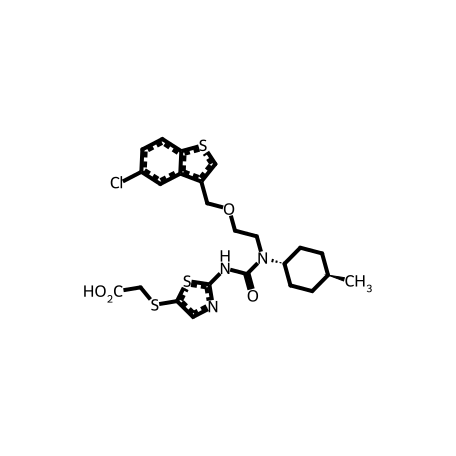 C[C@H]1CC[C@H](N(CCOCc2csc3ccc(Cl)cc23)C(=O)Nc2ncc(SCC(=O)O)s2)CC1